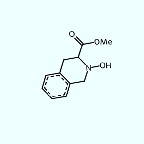 COC(=O)C1Cc2ccccc2CN1O